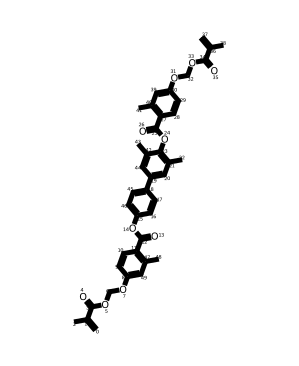 C=C(C)C(=O)OCOc1ccc(C(=O)Oc2ccc(-c3cc(C)c(OC(=O)c4ccc(OCOC(=O)C(=C)C)cc4C)c(C)c3)cc2)c(C)c1